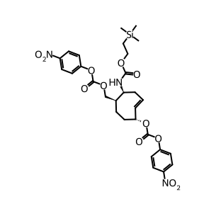 C[Si](C)(C)CCOC(=O)N[C@H]1C/C=C/[C@H](OC(=O)Oc2ccc([N+](=O)[O-])cc2)CC[C@H]1COC(=O)Oc1ccc([N+](=O)[O-])cc1